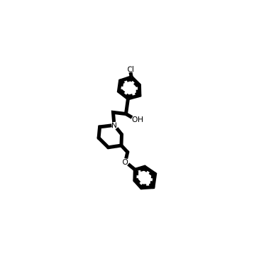 OC(CN1CCCC(COc2ccccc2)C1)c1ccc(Cl)cc1